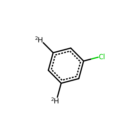 [2H]c1cc([2H])cc(Cl)c1